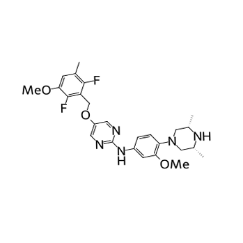 COc1cc(Nc2ncc(OCc3c(F)c(C)cc(OC)c3F)cn2)ccc1N1C[C@@H](C)N[C@@H](C)C1